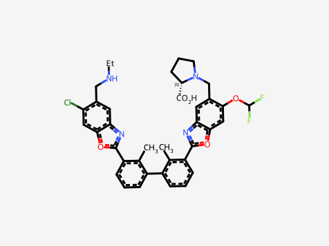 CCNCc1cc2nc(-c3cccc(-c4cccc(-c5nc6cc(CN7CCC[C@H]7C(=O)O)c(OC(F)F)cc6o5)c4C)c3C)oc2cc1Cl